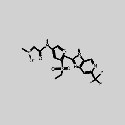 CCS(=O)(=O)c1cc(N(C)C(=O)C[S+](C)[O-])cnc1-c1nc2cc(C(F)(F)F)ncc2n1C